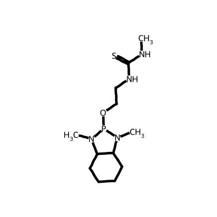 CNC(=S)NCCOP1N(C)C2CCCCC2N1C